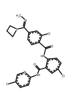 C/N=C(/c1ccc(C(=O)Nc2ccc(Cl)cc2C(=O)Nc2ccc(Cl)cn2)c(Cl)c1)N1CCC1